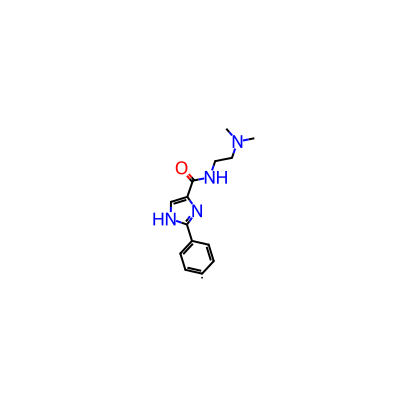 CN(C)CCNC(=O)c1c[nH]c(-c2cc[c]cc2)n1